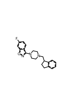 Fc1ccc2c(N3CCN(CC4CCc5ccccc54)CC3)noc2c1